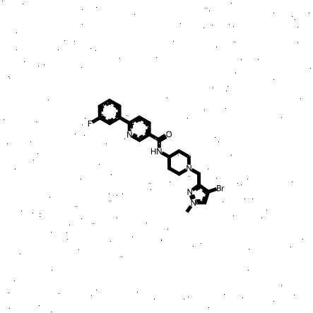 Cn1cc(Br)c(CN2CCC(NC(=O)c3ccc(-c4cccc(F)c4)nc3)CC2)n1